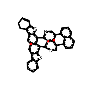 C1=Cc2sc3c(-c4ncc(-c5cccc6cccc(-c7cnc(-c8cccc9c8sc8ccccc89)nc7)c56)cn4)cccc3c2CC1